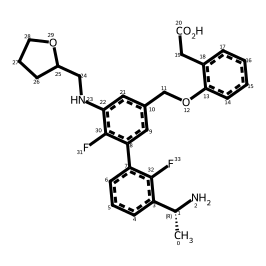 C[C@@H](N)c1cccc(-c2cc(COc3ccccc3CC(=O)O)cc(NCC3CCCO3)c2F)c1F